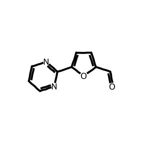 O=Cc1ccc(-c2ncccn2)o1